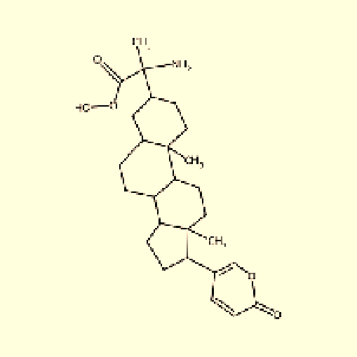 CC(N)(C(=O)OO)C1CCC2(C)C(CCC3C2CCC2(C)C(c4ccc(=O)oc4)CCC32)C1